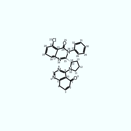 O=C1C=CCc2ncnc(N3CCC[C@H]3c3nc4cccc(Cl)c4c(=O)n3-c3ccccc3)c21